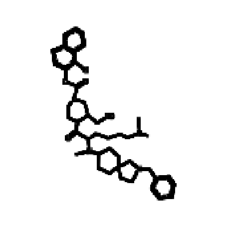 CN(C)CCCC[C@H](C(=O)N1CCN(C(=O)Oc2ccc3ccccc3c2Cl)C[C@H]1CN=O)N(C)C1CCC2(CC1)CCN(Cc1ccccc1)C2